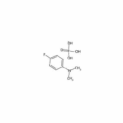 CN(C)c1ccc(F)cc1.O=P(O)(O)O